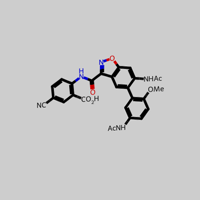 COc1ccc(NC(C)=O)cc1-c1cc2c(C(=O)Nc3ccc(C#N)cc3C(=O)O)noc2cc1NC(C)=O